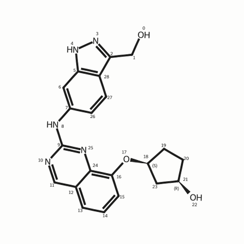 OCc1n[nH]c2cc(Nc3ncc4cccc(O[C@H]5CC[C@@H](O)C5)c4n3)ccc12